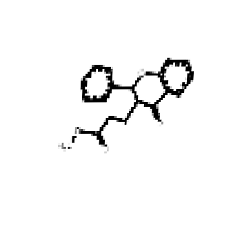 COC(=O)CCC1C(=O)c2ccccc2OC1c1ccccc1